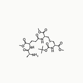 COC(=O)[C@H](CSC[C@@H](NC(=O)CC[C@@H](NC(=O)[C@H](C)N)C(=O)OC)C(=O)OC)NC(=O)OC(C)(C)C